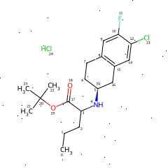 CCCC(N[C@H]1CCc2cc(F)c(Cl)cc2C1)C(=O)OC(C)(C)C.Cl